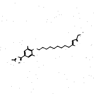 COCc1cc(CCCCCCCCCOc2c(C)cc(-c3noc(C)n3)cc2C)on1